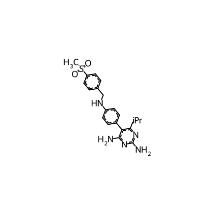 CC(C)c1nc(N)nc(N)c1-c1ccc(NCc2ccc(S(C)(=O)=O)cc2)cc1